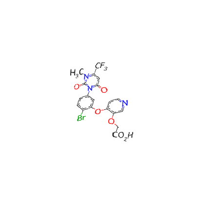 Cn1c(C(F)(F)F)cc(=O)n(-c2ccc(Br)c(Oc3ccncc3OCC(=O)O)c2)c1=O